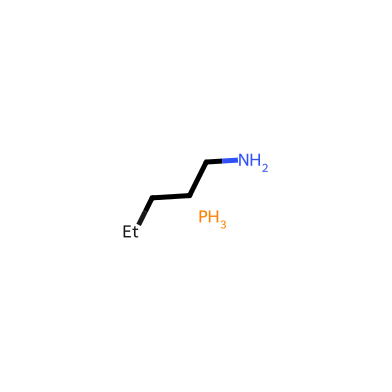 CCCCCN.P